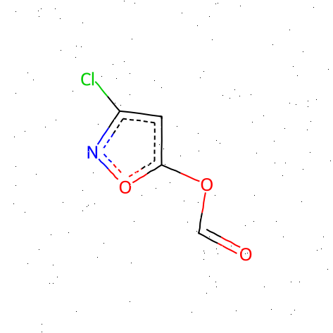 O=COc1cc(Cl)no1